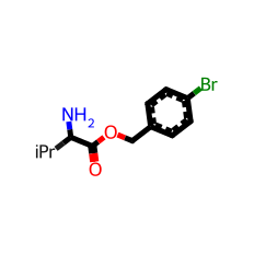 CC(C)C(N)C(=O)OCc1ccc(Br)cc1